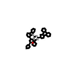 c1ccc(-c2cccc(-c3cccc4c5ccccc5n(-c5nc(-c6ccccc6)nc(-c6ccc7c8ccccc8c8ccccc8c7c6)n5)c34)c2)cc1